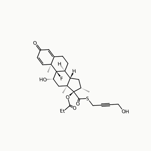 CCC(=O)O[C@]1(C(=O)SCC#CCO)[C@@H](C)C[C@H]2[C@@H]3CCC4=CC(=O)C=C[C@]4(C)[C@@]3(F)[C@@H](O)C[C@@]21C